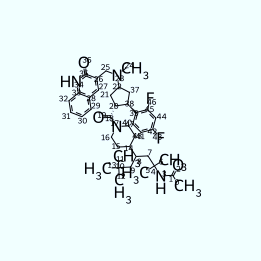 CC(=O)NC(C)(C)CC(CC(C)(C)C)C1CCN(C(=O)[C@@H]2CC(N(C)Cc3cc4ccccc4[nH]c3=O)C[C@H]2c2ccc(F)cc2F)CC1